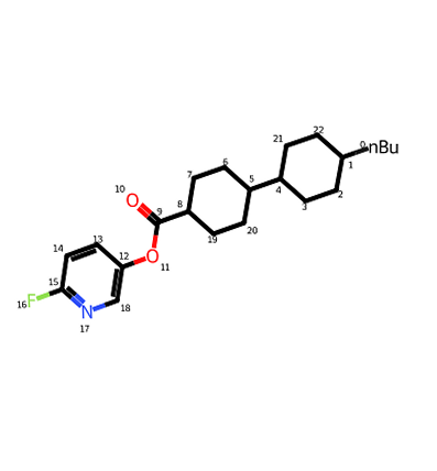 CCCCC1CCC(C2CCC(C(=O)Oc3ccc(F)nc3)CC2)CC1